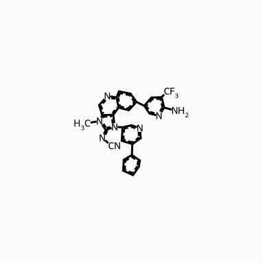 Cn1/c(=N/C#N)n(-c2cncc(-c3ccccc3)c2)c2c3cc(-c4cnc(N)c(C(F)(F)F)c4)ccc3ncc21